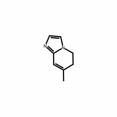 CC1=Cc2nccn2CC1